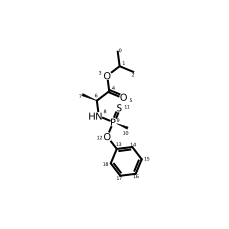 CC(C)OC(=O)[C@H](C)N[P@](C)(=S)Oc1ccccc1